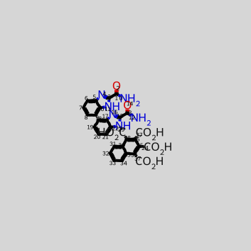 NC(=O)c1nc2ccccc2[nH]1.NC(=O)c1nc2ccccc2[nH]1.O=C(O)c1c(C(=O)O)c(C(=O)O)c2ccccc2c1C(=O)O